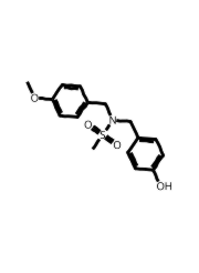 COc1ccc(CN(Cc2ccc(O)cc2)S(C)(=O)=O)cc1